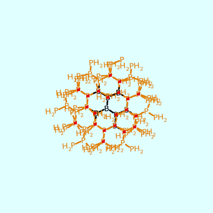 PPP(P(P)P)P(B(B(B(B(B(P(P(P)P)P(P)P)P(P(P)P)P(P)P)B(P(P(P)P)P(P)P)P(P(P)P)P(P)P)B(P(P(P(P)P)P(P)P)P(P(P)P)P(P)P)P(P(P(P)P)P(P)P)P(P(P)P)P(P)P)B(P(P(P)P)P(P)P)P(P(P)P)P(P)P)P(P(P)P)P(P)P)P(P)P